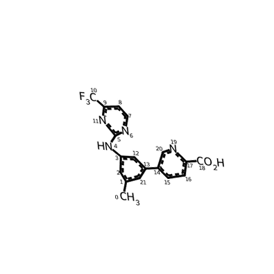 Cc1cc(Nc2nccc(C(F)(F)F)n2)cc(-c2ccc(C(=O)O)nc2)c1